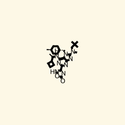 C[C@@H](Nc1nc(-c2nc(=O)o[nH]2)nc2nc(N(C)CC(C)(C)C)n(C[C@H]3CC[C@H](C)CC3)c12)C1CCC1